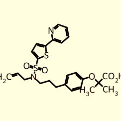 C=CCN(CCCc1ccc(OC(C)(C)C(=O)O)cc1)S(=O)(=O)c1ccc(-c2ccccn2)s1